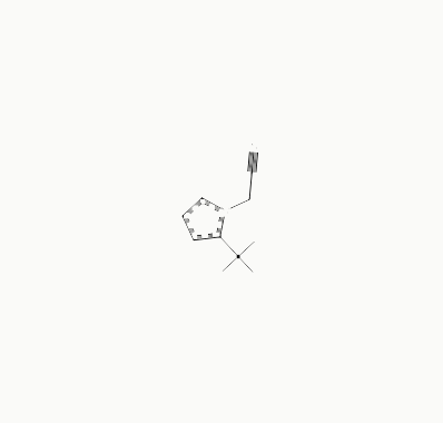 N#CCn1cccc1C(F)(F)F